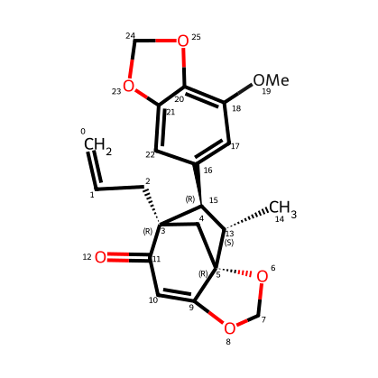 C=CC[C@]12C[C@@]3(OCOC3=CC1=O)[C@@H](C)[C@@H]2c1cc(OC)c2c(c1)OCO2